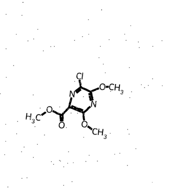 COC(=O)c1nc(Cl)c(OC)nc1OC